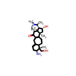 C[C@@H]([C@H]1[C@H](O)C[C@@]2(C)C3CCC4C(=CC[C@H](N)[C@@]4(C)CO)CC3C(=O)C[C@]12C)N(C)C